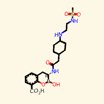 CS(=O)(=O)NCCNC1CCC(CC(=O)N[C@H]2Cc3cccc(C(=O)O)c3OB2O)CC1